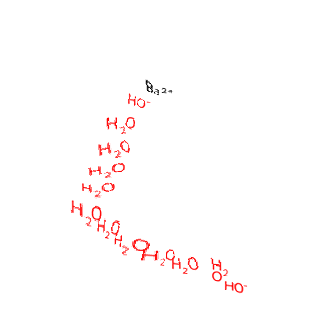 O.O.O.O.O.O.O.O.O.O.[Ba+2].[OH-].[OH-]